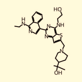 CCNc1ncc(-c2nc(NCCO)c3sc(CN4CCC(C(C)(C)O)CC4)cc3n2)c2ccccc12